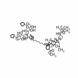 CC#CCn1c(N2CCCC(NC(=O)OC(C)(C)C)C2)nc2c1c(=O)n(Cc1nc(NCCCCCCCn3cc(CN(C[C@H](O)[C@@H](O)[C@@H]4OC(c5ccccc5)OC[C@H]4O)C[C@H](O)[C@@H](O)[C@@H]4OC(c5ccccc5)OC[C@H]4O)nn3)ccc1C(=O)OC)c(=O)n2C